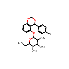 CCc1ccc(C2OCOc3cccc(OC4OC(COC(C)=O)C(OC(C)=O)C(OC(C)=O)C4OC(C)=O)c32)cc1